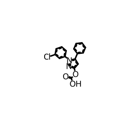 O=C(O)Oc1cc(-c2ccccc2)n(-c2cccc(Cl)c2)n1